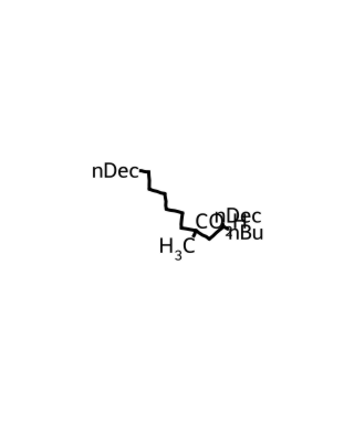 CCCCCCCCCCCCCCCCC(C)(CC(CCCC)CCCCCCCCCC)C(=O)O